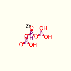 O=[PH](O)O[PH](=O)OP(O)O.[Zr]